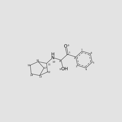 O=C(c1ccccc1)C(O)NC1CC2CCC1C2